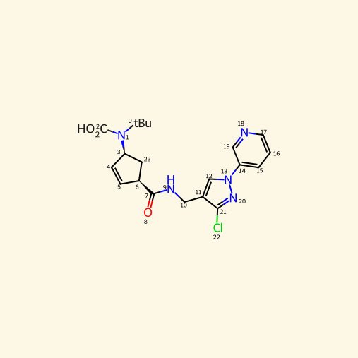 CC(C)(C)N(C(=O)O)[C@@H]1C=C[C@H](C(=O)NCc2cn(-c3cccnc3)nc2Cl)C1